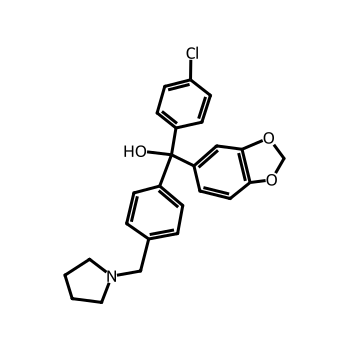 OC(c1ccc(Cl)cc1)(c1ccc(CN2CCCC2)cc1)c1ccc2c(c1)OCO2